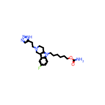 NC(=O)OCCCCCCn1c2c(c3cc(F)ccc31)CN(CCc1cnn[nH]1)CC2